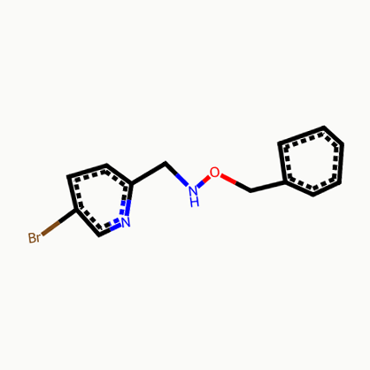 Brc1ccc(CNOCc2ccccc2)nc1